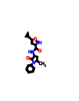 CC1CC(NC(=O)C2C=C(C3CC3)ON2)C(=O)N1c1ccccc1